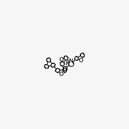 C1=C(c2ccc3c(c2)oc2ccccc23)/N=C(c2cccc3oc4ccc(-c5cccc6oc7ccc(-c8ccc9c%10ccccc%10c%10ccccc%10c9c8)cc7c56)cc4c23)\N=C(\c2ccccc2)CC\1